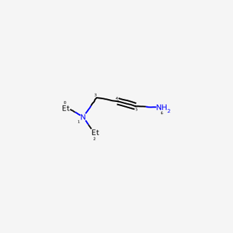 CCN(CC)CC#CN